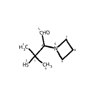 CC(C)(S)C(C=O)N1CCC1